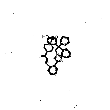 O=C(C=Cc1ccccc1-c1cn(CC(c2ccccc2)(c2ccccc2)c2ccccc2)cn1)C1CCN(C(=O)O)CC1